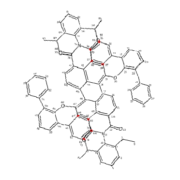 CCc1cccc(C(C)C)c1N1C(=O)c2ccc3c4c(Oc5c(-c6ccccc6)cccc5-c5ccccc5)cc5c6c(ccc(c7c(Oc8c(-c9ccccc9)cccc8-c8ccccc8)cc(c2c37)C1=O)c64)C(=O)N(c1c(C(C)C)cccc1C(C)C)C5=O